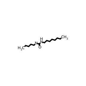 CCCCCCCCNC(=O)[N]CCCCC